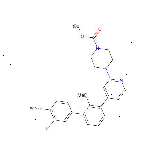 COc1c(-c2ccnc(N3CCN(C(=O)OC(C)(C)C)CC3)c2)cccc1-c1ccc(NC(C)=O)c(F)c1